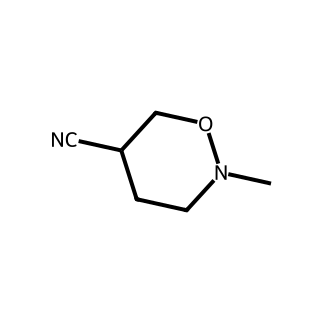 CN1CCC(C#N)CO1